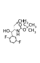 C#CC[C@H](NC(=O)OC(C)(C)C)C(O)c1cc(F)ccc1F